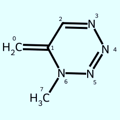 C=C1C=NN=NN1C